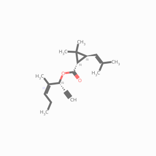 C#C[C@@H](OC(=O)[C@H]1[C@H](C=C(C)C)C1(C)C)/C(C)=C\CC